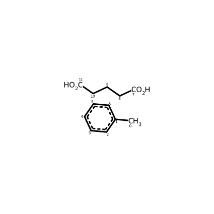 Cc1ccccc1.O=C(O)CCCC(=O)O